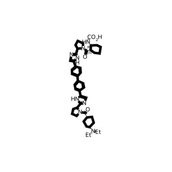 CCN(CC)[C@H]1CC[C@@H](C(=O)N2CCCC2c2ncc(-c3ccc(-c4ccc(-c5cnc(C6CCCN6C(=O)[C@H]6CCCC[C@H]6NC(=O)O)[nH]5)cc4)cc3)[nH]2)CC1